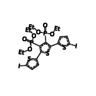 CCOP(=O)(OCC)c1c(-c2ccc(I)s2)sc(-c2ccc(I)s2)c1P(=O)(OCC)OCC